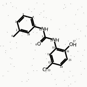 Cc1cccc(NC(=O)Nc2cc(Cl)ccc2O)c1